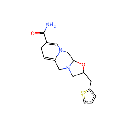 NC(=O)C1=CN2CC3OC(Cc4cccs4)CN3CC2=CC1